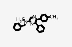 Cc1ccc(-c2ncc(N(C)Cc3ccccc3)nc2-c2ccccc2)cc1